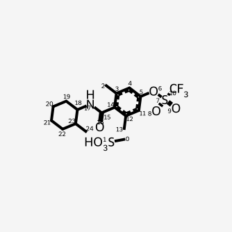 CS(=O)(=O)O.Cc1cc(OS(=O)(=O)C(F)(F)F)cc(C)c1C(=O)NC1CCCCC1C